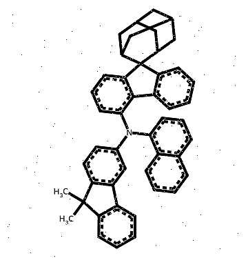 CC1(C)c2ccccc2-c2cc(N(c3cccc4c3-c3ccccc3C43C4CC5CC(C4)CC3C5)c3cccc4ccccc34)ccc21